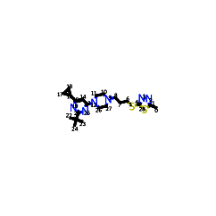 Cc1nnc(SCCCN2CCN(c3cc(C4CC4)nc(C(C)(C)C)n3)CC2)s1